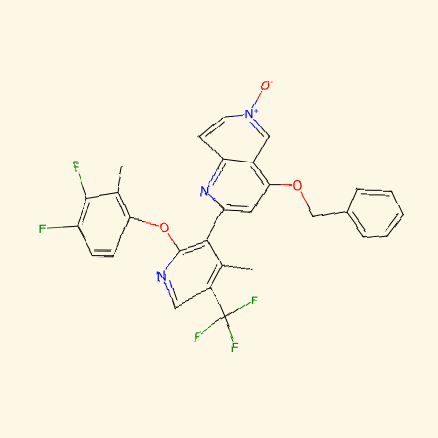 Cc1c(Oc2ncc(C(F)(F)F)c(C)c2-c2cc(OCc3ccccc3)c3c[n+]([O-])ccc3n2)ccc(F)c1F